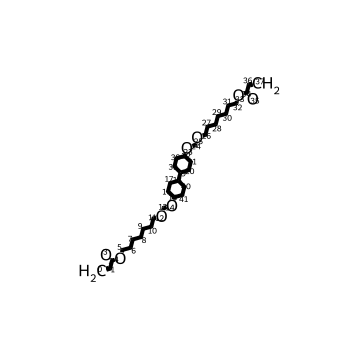 C=CC(=O)OCCCCCCCOCOC1CCC(C2CCC(OCOCCCCCCCOC(=O)C=C)CC2)CC1